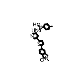 Cc1ccc(N(O)SNc2cncc(-c3ccc(-c4ccc5c(c4)CN(C)C5=O)s3)c2)cc1